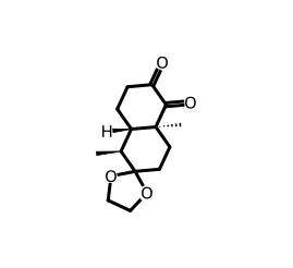 C[C@H]1[C@@H]2CCC(=O)C(=O)[C@@]2(C)CCC12OCCO2